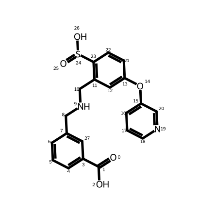 O=C(O)c1cccc(CNCc2cc(Oc3cccnc3)ccc2S(=O)O)c1